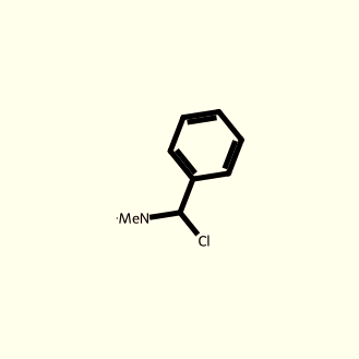 C[N]C(Cl)c1ccccc1